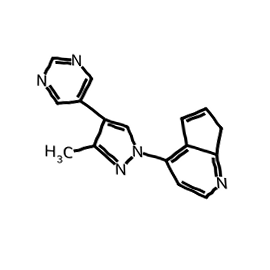 Cc1nn(-c2ccnc3c2C=CC3)cc1-c1cncnc1